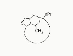 CCCC1CCCCCCCCCCC2SCC3CC1CC(C)C32